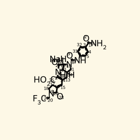 NC(=O)c1ccc(NC(=O)N2C[C@H]3CC(/C=C4\CCN(CC(F)(F)F)C4=O)=C(C(=O)O)N4C(=O)[C@@H]2[C@@H]34)cc1.[NaH]